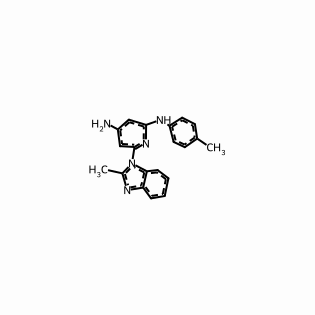 Cc1ccc(Nc2cc(N)cc(-n3c(C)nc4ccccc43)n2)cc1